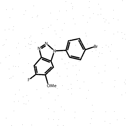 COc1cc2c(cc1F)nnn2-c1ccc(Br)cc1